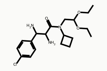 CCOC(CN(C(=O)C(N)C(N)c1ccc(Cl)cc1)C1CCC1)OCC